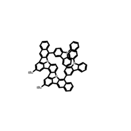 CC(C)(C)c1cc2c3cc4ccccc4c(-c4ccc5c(c4)c4ccccc4n5-c4ccccc4)c3n3c4ccc5c(c6cc(C(C)(C)C)cc7c8cc9ccccc9c(-c9ccc%10c(c9)c9ccccc9n%10-c9ccccc9)c8n5c76)c4c(c1)c23